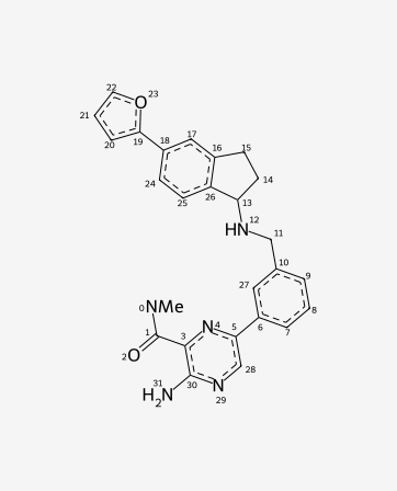 CNC(=O)c1nc(-c2cccc(CNC3CCc4cc(-c5ccco5)ccc43)c2)cnc1N